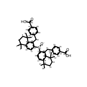 CC1(C)CCC(C)(C)c2c1ccc([S+]([O-])c1ccc3c(c1Cc1ccc(C(=O)O)cc1)C(C)(C)CCC3(C)C)c2Cc1ccc(C(=O)O)cc1